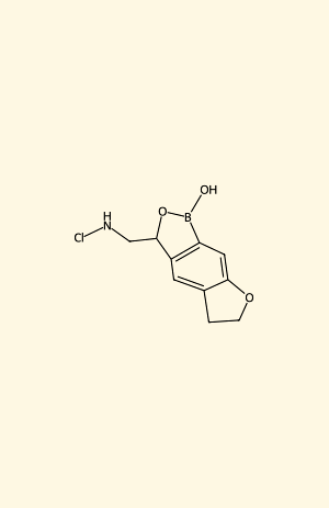 OB1OC(CNCl)c2cc3c(cc21)OCC3